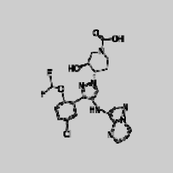 O=C(O)N1CC[C@H](n2cc(Nc3cnn4cccnc34)c(-c3cc(Cl)ccc3OC(F)F)n2)[C@@H](O)C1